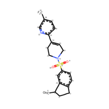 O=CC1CCc2ccc(S(=O)(=O)N3CC=C(c4ccc(C(F)(F)F)cn4)CC3)cc21